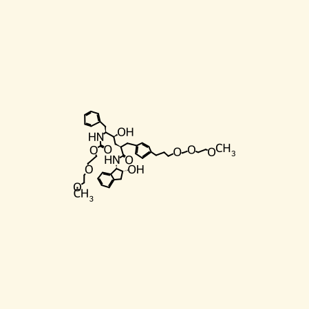 COCCOCCOC(=O)N[C@@H](Cc1ccccc1)[C@@H](O)C[C@@H](Cc1ccc(CCCOCOCCOC)cc1)C(=O)N[C@H]1c2ccccc2C[C@H]1O